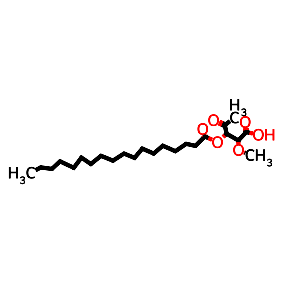 CCCCCCCCCCCCCCCCCC(=O)OC(C(C)=O)C(OC)C(=O)O